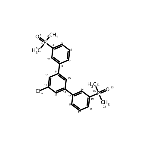 CP(C)(=O)c1cccc(-c2cc(Cl)cc(-c3cccc(P(C)(C)=O)c3)c2)c1